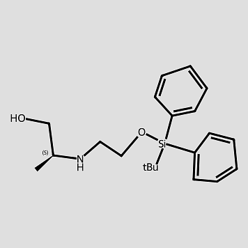 C[C@@H](CO)NCCO[Si](c1ccccc1)(c1ccccc1)C(C)(C)C